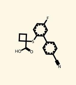 N#Cc1ccc(-c2cc(F)ccc2SC2(C(=O)O)CCC2)cc1